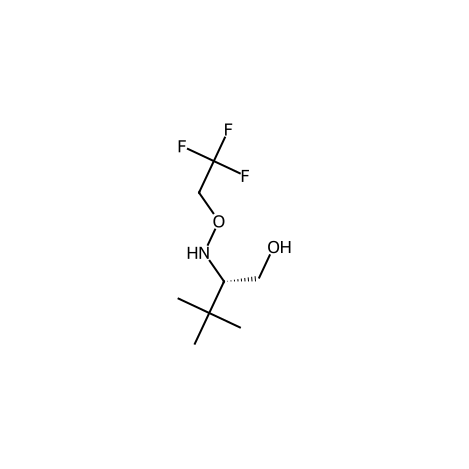 CC(C)(C)[C@@H](CO)NOCC(F)(F)F